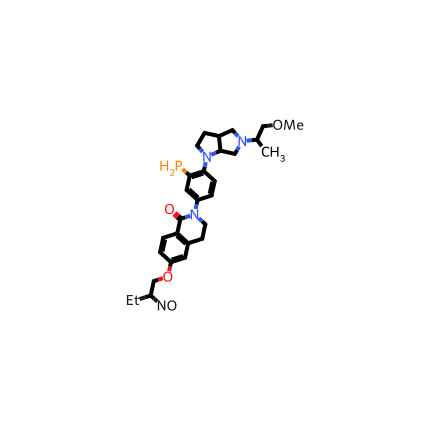 CCC(COc1ccc2c(c1)CCN(c1ccc(N3CCC4CN(C(C)COC)CC43)c(P)c1)C2=O)N=O